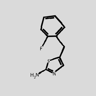 Nc1ncc(Cc2ccccc2F)s1